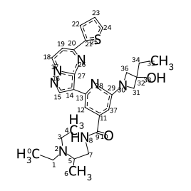 CCN(CC)C(C)CNC(=O)c1cc(-c2cnn3ccc(-c4cccs4)nc23)nc(N2CC(O)(CC)C2)c1